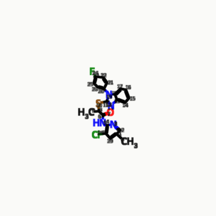 Cc1cnc(NC(=O)C(C)Sc2nc3ccccc3n2-c2ccc(F)cc2)c(Cl)c1